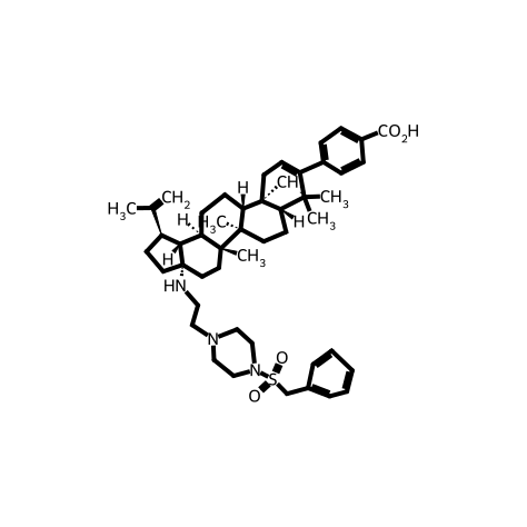 C=C(C)[C@@H]1CC[C@]2(NCCN3CCN(S(=O)(=O)Cc4ccccc4)CC3)CC[C@]3(C)[C@H](CC[C@@H]4[C@@]5(C)CC=C(c6ccc(C(=O)O)cc6)C(C)(C)[C@@H]5CC[C@]43C)[C@@H]12